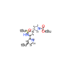 CC(C)(C)OC(=O)N1CC[C@H](CCC(N[S+]([O-])C(C)(C)C)c2cc(C(C)(C)C)ccn2)C1